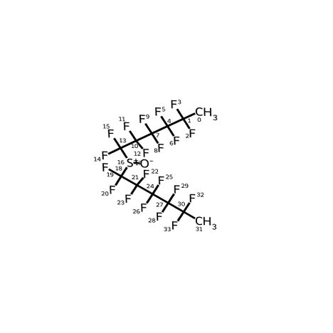 CC(F)(F)C(F)(F)C(F)(F)C(F)(F)C(F)(F)[S+]([O-])C(F)(F)C(F)(F)C(F)(F)C(F)(F)C(C)(F)F